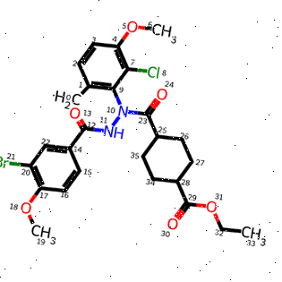 [CH2]c1ccc(OC)c(Cl)c1N(NC(=O)c1ccc(OC)c(Br)c1)C(=O)C1CCC(C(=O)OCC)CC1